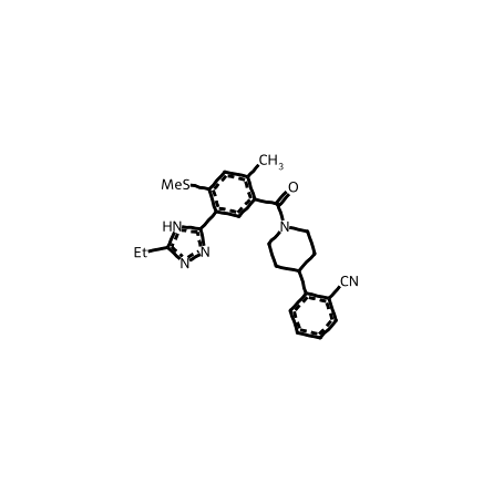 CCc1nnc(-c2cc(C(=O)N3CCC(c4ccccc4C#N)CC3)c(C)cc2SC)[nH]1